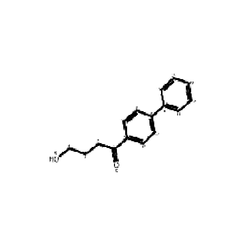 O=C(CCCO)c1ccc(-c2ccccc2)cc1